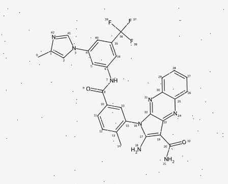 Cc1cn(-c2cc(NC(=O)c3ccc(C)c(-n4c(N)c(C(N)=O)c5nc6ccccc6nc54)c3)cc(C(F)(F)F)c2)cn1